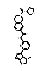 C[C@H]1CCc2nnc(-c3cccc(NC(=O)c4cc5c(cn4)CCN(C(=O)[C@@H]4CCOC4)C5)n3)n21